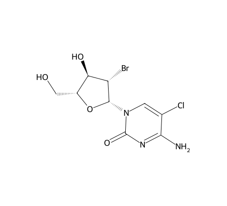 Nc1nc(=O)n([C@@H]2O[C@H](CO)[C@@H](O)[C@@H]2Br)cc1Cl